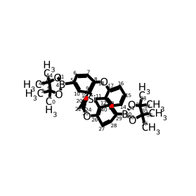 CC1(C)OB(c2ccc3c(c2)[Si]2(c4ccccc4O3)c3ccccc3Oc3ccc(B4OC(C)(C)C(C)(C)O4)cc32)OC1(C)C